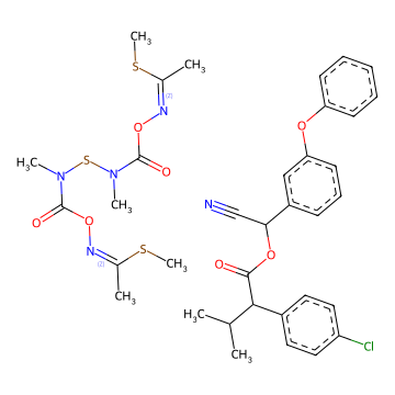 CC(C)C(C(=O)OC(C#N)c1cccc(Oc2ccccc2)c1)c1ccc(Cl)cc1.CS/C(C)=N\OC(=O)N(C)SN(C)C(=O)O/N=C(/C)SC